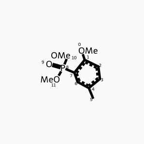 COc1ccc(C)cc1P(=O)(OC)OC